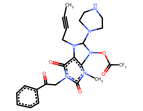 CC#CCN1c2c(n(C)c(=O)n(CC(=O)c3ccccc3)c2=O)N(OC(=O)C(F)(F)F)C1N1CCNCC1